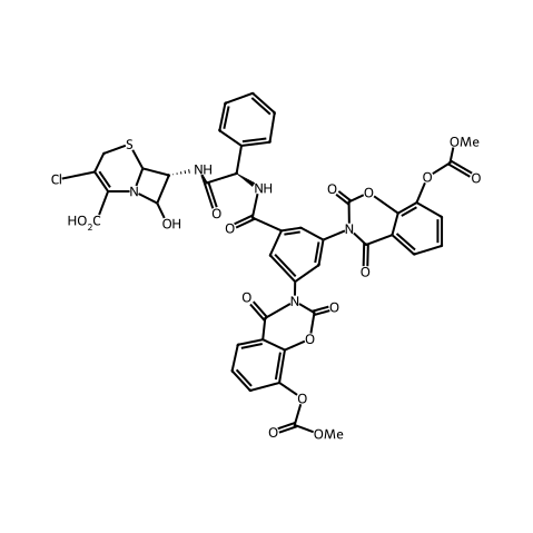 COC(=O)Oc1cccc2c(=O)n(-c3cc(C(=O)N[C@@H](C(=O)N[C@@H]4C(O)N5C(C(=O)O)=C(Cl)CSC45)c4ccccc4)cc(-n4c(=O)oc5c(OC(=O)OC)cccc5c4=O)c3)c(=O)oc12